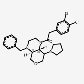 O=C(Cc1ccc(Cl)c(Cl)c1)N1CCN(Cc2ccccc2)[C@@H]2COCC(N3CCCC3)[C@H]21